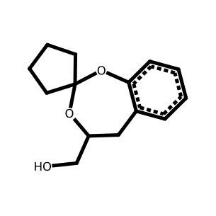 OCC1Cc2ccccc2OC2(CCCC2)O1